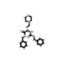 O=C(N[C@@H](CCN1CCOCC1)C(=O)OCc1ccccc1)OCc1ccccc1